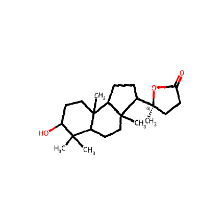 CC1(C)C(O)CCC2(C)C1CCC1(C)C2CCC1[C@]1(C)CCC(=O)O1